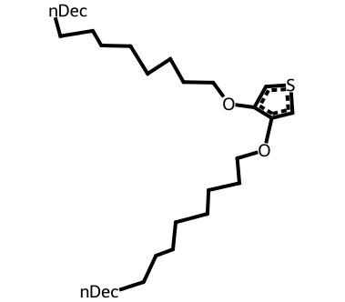 CCCCCCCCCCCCCCCCCCOc1cscc1OCCCCCCCCCCCCCCCCCC